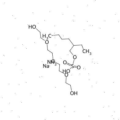 CCCCC(CC)COS(=O)(=O)O.N.OCCOCCOCCOCCO.[Na]